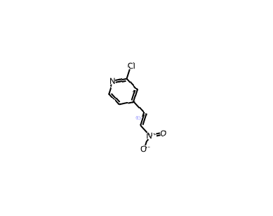 O=[N+]([O-])/C=C/c1ccnc(Cl)c1